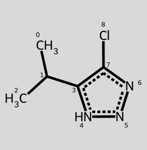 CC(C)c1[nH]nnc1Cl